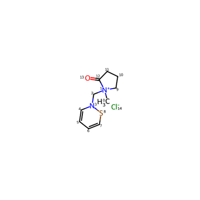 C[N+]1(CN2C=CC=CS2)CCCC1=O.[Cl-]